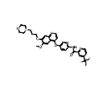 COc1cc2c(Oc3ccc(NC(=O)c4cc(C(F)(F)F)ccn4)nc3)ccnc2cc1OCCCN1CCOCC1